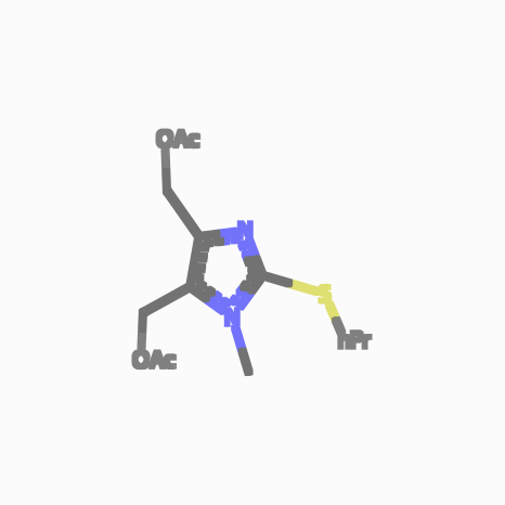 CCCSc1nc(COC(C)=O)c(COC(C)=O)n1C